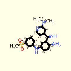 CN(C)c1cc(C(=N)c2cc(Nc3cccc(S(C)(=O)=O)c3)ccc2N)ccn1